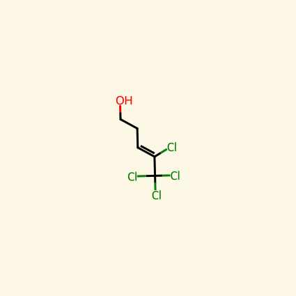 OCCC=C(Cl)C(Cl)(Cl)Cl